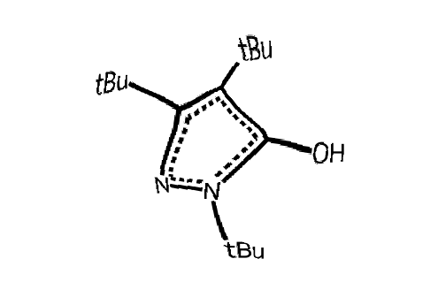 CC(C)(C)c1nn(C(C)(C)C)c(O)c1C(C)(C)C